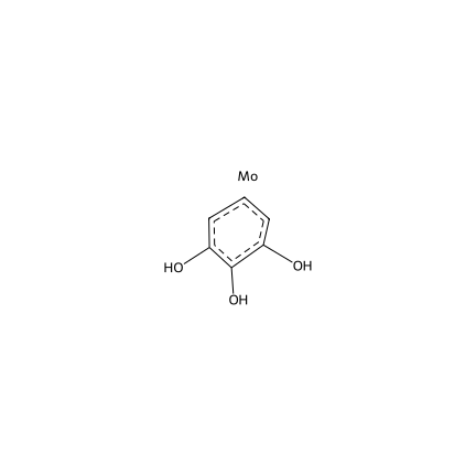 Oc1cccc(O)c1O.[Mo]